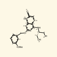 COc1cccc(COc2nc(N[C@@H](CO)CC(C)C)c3ncc(=O)[nH]c3n2)c1